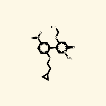 CCOc1cc(=O)n(C)cc1-c1cc([N+](=O)[O-])ccc1OCCC1CC1